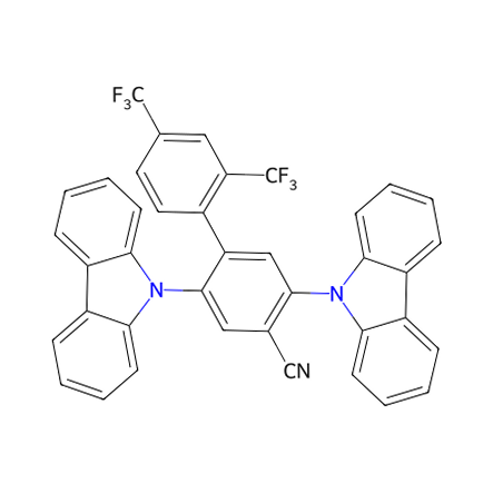 N#Cc1cc(-n2c3ccccc3c3ccccc32)c(-c2ccc(C(F)(F)F)cc2C(F)(F)F)cc1-n1c2ccccc2c2ccccc21